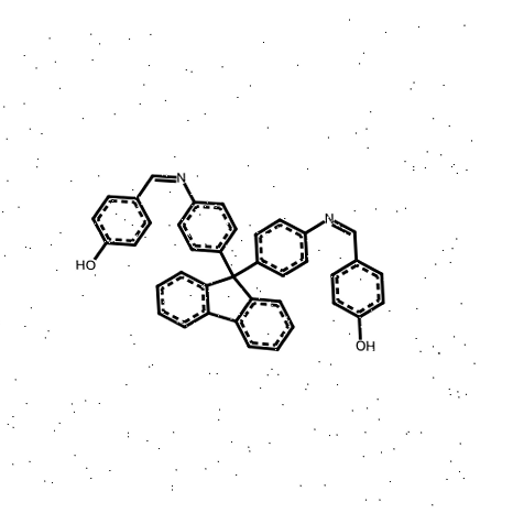 Oc1ccc(/C=N\c2ccc(C3(c4ccc(/N=C\c5ccc(O)cc5)cc4)c4ccccc4-c4ccccc43)cc2)cc1